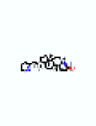 C[C@]12C=CC(=O)N[C@@H]1CC[C@@H]1[C@@H]2CC[C@]2(C)[C@@H](/C=C/c3ccccn3)CC[C@@H]12